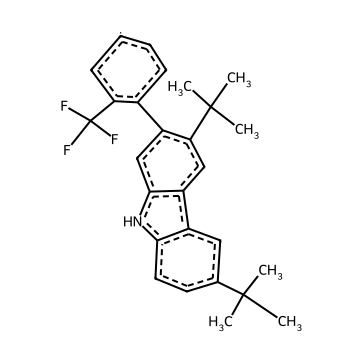 CC(C)(C)c1ccc2[nH]c3cc(-c4cc[c]cc4C(F)(F)F)c(C(C)(C)C)cc3c2c1